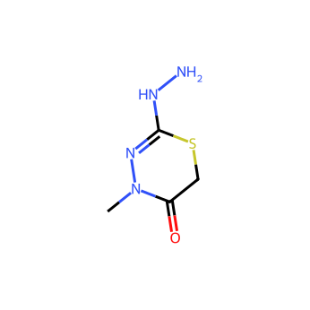 CN1N=C(NN)SCC1=O